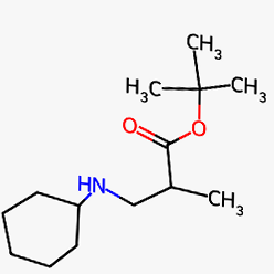 CC(CNC1CCCCC1)C(=O)OC(C)(C)C